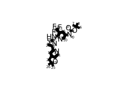 CN(C(=O)OC(C)(C)C)c1cnc(Nc2nc(-c3cc4c(cn3)OC(C)(C)C4)cs2)c(C(F)(F)F)c1